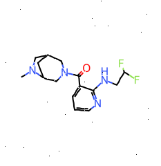 CN1CC2CC1CN(C(=O)c1cccnc1NCC(F)F)C2